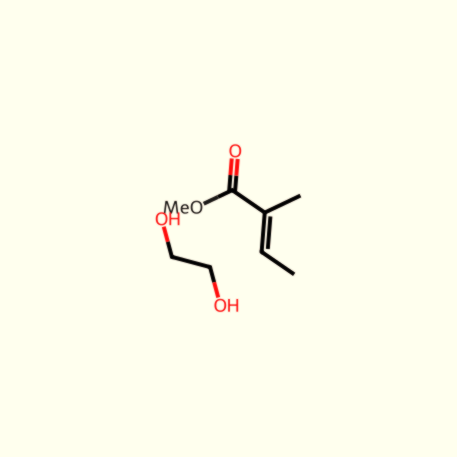 CC=C(C)C(=O)OC.OCCO